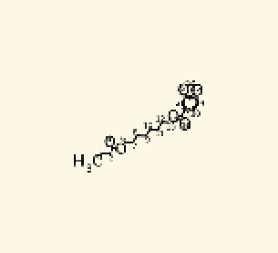 CCCC(=O)OCCCCCCCCOC(=O)c1ccc2c(c1)OCO2